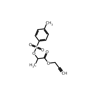 C#CCOC(=O)C(C)OS(=O)(=O)c1ccc(C)cc1